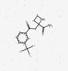 NC(=O)C1([CH]C(=O)c2cccc(C(F)(F)F)c2)CCN1